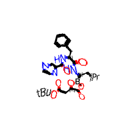 CC(C)C[C@H](NC(=O)[C@H](Cc1ccccc1)NC(=O)c1cnccn1)B1OC(=O)[C@@H](CC(=O)OC(C)(C)C)O1